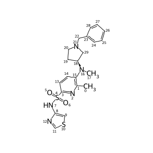 Cc1nc(S(=O)(=O)Nc2cscn2)ccc1N(C)[C@H]1CCN(Cc2ccccc2)C1